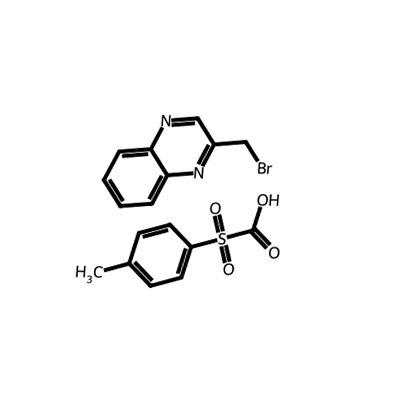 BrCc1cnc2ccccc2n1.Cc1ccc(S(=O)(=O)C(=O)O)cc1